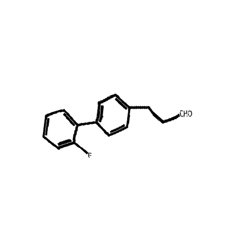 O=CCCc1ccc(-c2ccccc2F)cc1